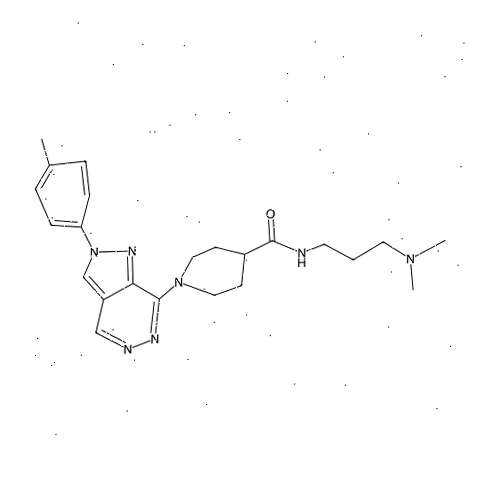 Cc1ccc(-n2cc3cnnc(N4CCC(C(=O)NCCCN(C)C)CC4)c3n2)cc1